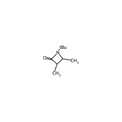 CC1C(=O)N(C(C)(C)C)C1C